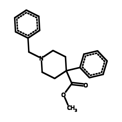 COC(=O)C1(c2ccccc2)CCN(Cc2ccccc2)CC1